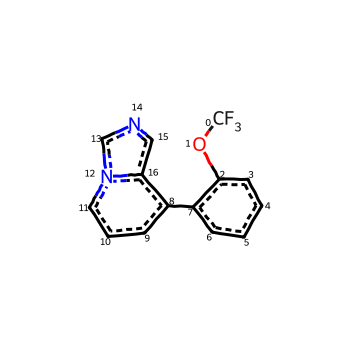 FC(F)(F)Oc1ccccc1-c1cccn2cncc12